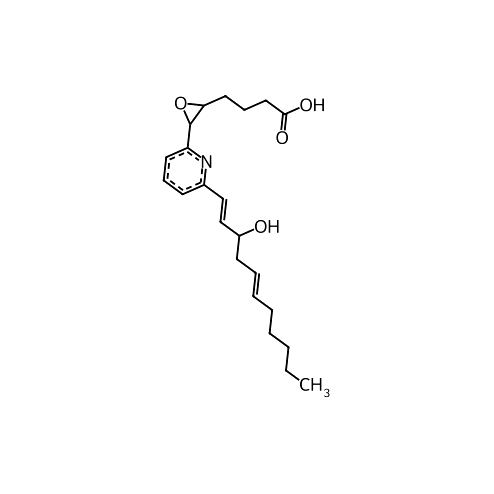 CCCCCC=CCC(O)C=Cc1cccc(C2OC2CCCC(=O)O)n1